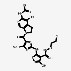 CCC(=O)Nc1ncc2c(c1O)CCN2C(=O)c1sc(Nc2snc(O)c2C(=N)NOCCCl)nc1OC